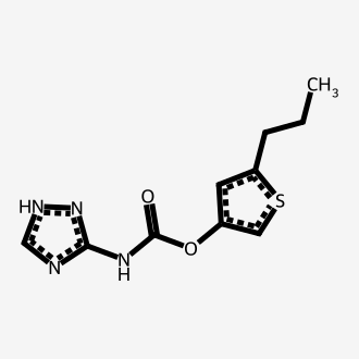 CCCc1cc(OC(=O)Nc2nc[nH]n2)cs1